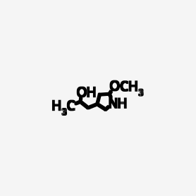 COC1CC(CC(C)O)CN1